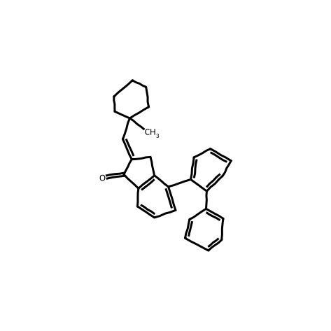 CC1(C=C2Cc3c(cccc3-c3ccccc3-c3ccccc3)C2=O)CCCCC1